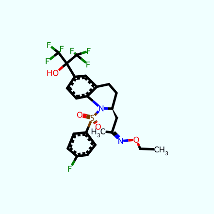 CCO/N=C(/C)C[C@@H]1CCc2cc(C(O)(C(F)(F)F)C(F)(F)F)ccc2N1S(=O)(=O)c1ccc(F)cc1